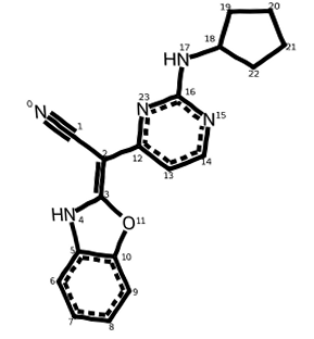 N#CC(=C1Nc2ccccc2O1)c1ccnc(NC2CCCC2)n1